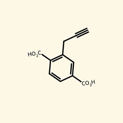 C#CCc1cc(C(=O)O)ccc1C(=O)O